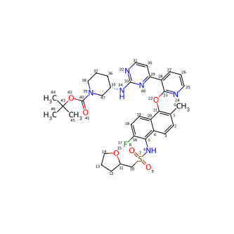 Cc1ccc2c(NS(=O)(=O)CC3CCCO3)c(F)ccc2c1Oc1ncccc1-c1ccnc(N[C@H]2CCCN(C(=O)OC(C)(C)C)C2)n1